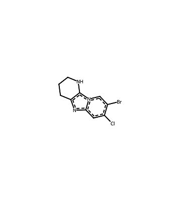 Clc1cc2nc3c(n2cc1Br)NCCC3